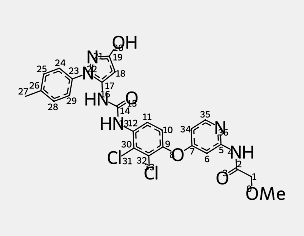 COCC(=O)Nc1cc(Oc2ccc(NC(=O)Nc3cc(O)nn3-c3ccc(C)cc3)c(Cl)c2Cl)ccn1